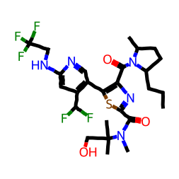 CCCC1CCC(C)N1C(=O)c1nc(C(=O)N(C)C(C)(C)CO)sc1-c1cnc(NCC(F)(F)F)cc1C(F)F